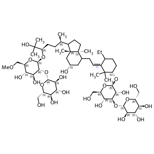 CCC1CC[C@H](O[C@@H]2O[C@H](CO)[C@@H](O)[C@H](O[C@@H]3O[C@H](CO)[C@@H](O)[C@H](O)[C@H]3O)[C@H]2O)C(C)(C)/C1=C/CC1C[C@H](O)C[C@]2(C)C([C@H](C)CC[C@@H](O[C@@H]3O[C@H](COC)[C@@H](O)[C@H](O)[C@H]3O[C@H]3O[C@@H](CO)[C@H](O)[C@@H](O)[C@@H]3O)C(C)(C)O)CC[C@@]12C